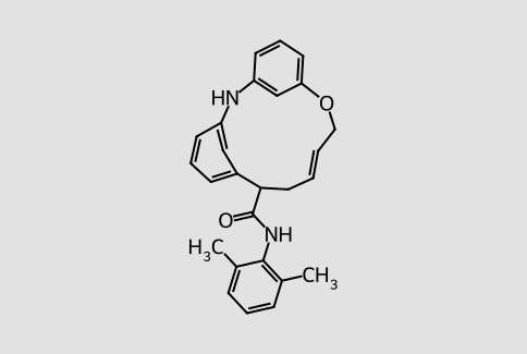 Cc1cccc(C)c1NC(=O)C1C/C=C/COc2cccc(c2)Nc2cccc1c2